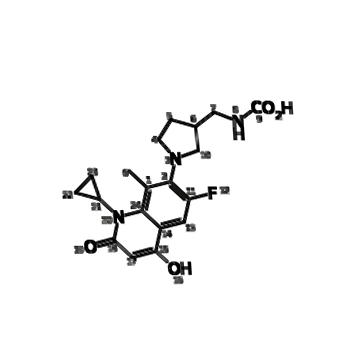 Cc1c(N2CCC(CNC(=O)O)C2)c(F)cc2c(O)cc(=O)n(C3CC3)c12